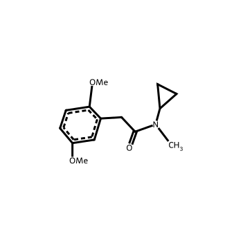 COc1ccc(OC)c(CC(=O)N(C)C2CC2)c1